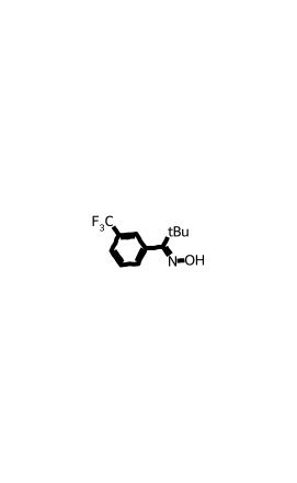 CC(C)(C)/C(=N\O)c1cccc(C(F)(F)F)c1